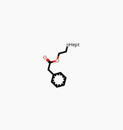 [CH2]CCCCCCCCOC(=O)Cc1ccccc1